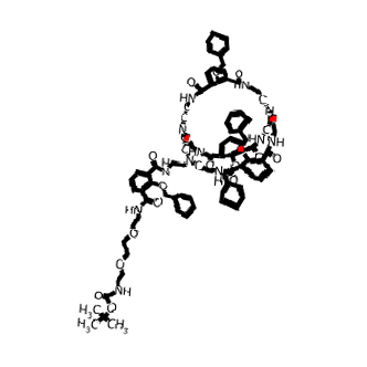 CC(C)(C)OC(=O)NCCOCCOCCNC(=O)c1cccc(C(=O)NCCN2CCNC(=O)c3cccc(c3OCc3ccccc3)C(=O)NCCN3CCNC(=O)c4cccc(c4OCc4ccccc4)C(=O)NCCN(CCNC(=O)c4cccc(c4OCc4ccccc4)C(=O)NCC3)CC2)c1OCc1ccccc1